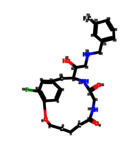 O=C1CCCCOc2ccc(cc2F)CC(C(O)CNCc2cccc(C(F)(F)F)c2)NC(=O)CN1